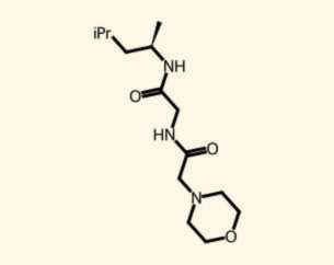 CC(C)C[C@@H](C)NC(=O)CNC(=O)CN1CCOCC1